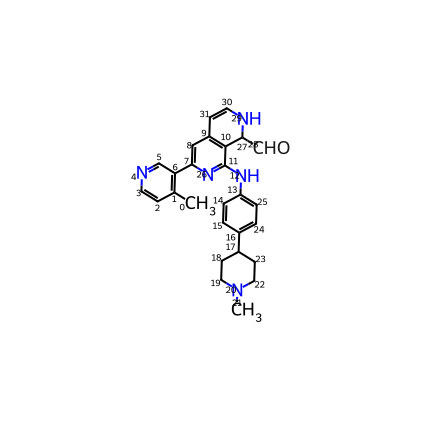 Cc1ccncc1-c1cc2c(c(Nc3ccc(C4CCN(C)CC4)cc3)n1)C(C=O)NC=C2